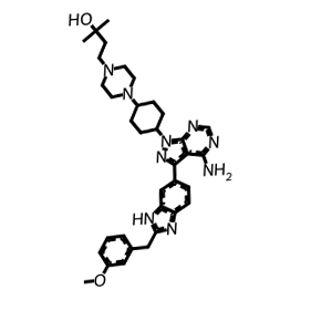 COc1cccc(Cc2nc3ccc(-c4nn(C5CCC(N6CCN(CCC(C)(C)O)CC6)CC5)c5ncnc(N)c45)cc3[nH]2)c1